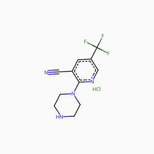 Cl.N#Cc1cc(C(F)(F)F)cnc1N1CCNCC1